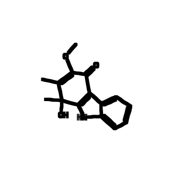 COC1=C(C)C(C)(O)c2[nH]c3ccccc3c2C1=O